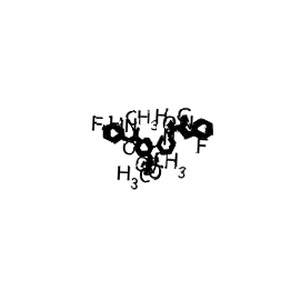 CNCc1c(-c2ccc(F)cc2)oc2cc(N(C)S(C)(=O)=O)c([C@@H]3CCCN(C(=O)c4cc5c(F)cccc5n4C)C3)cc12